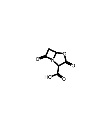 O=C(O)C1C(=O)OC2CC(=O)N21